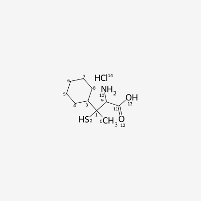 CC(S)(C1CCCCC1)C(N)C(=O)O.Cl